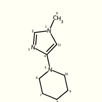 Cn1[c]nc(N2CCCCC2)c1